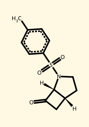 Cc1ccc(S(=O)(=O)N2CC[C@@H]3CC(=O)[C@@H]32)cc1